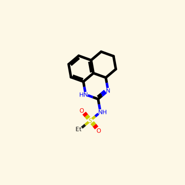 CCS(=O)(=O)NC1=NC2CCCc3cccc(c32)N1